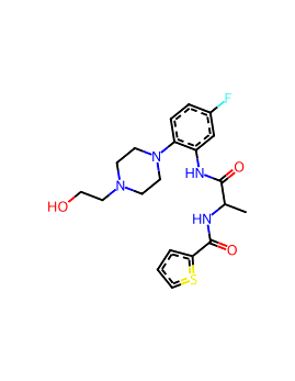 CC(NC(=O)c1cccs1)C(=O)Nc1cc(F)ccc1N1CCN(CCO)CC1